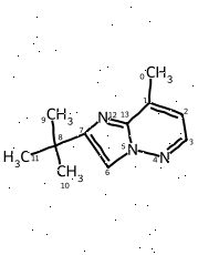 Cc1ccnn2cc(C(C)(C)C)nc12